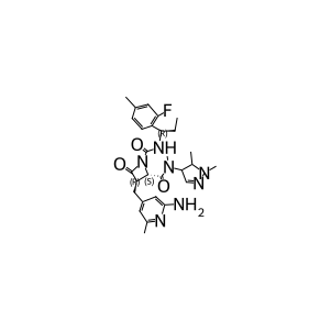 CC[C@@H](NC(=O)N1C(=O)[C@H](Cc2cc(C)nc(N)c2)[C@H]1C(=O)N(C)C1C=NN(C)C1C)c1ccc(C)cc1F